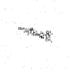 Cc1cnn(C)c1-c1ccc(NC[C@@H]2CC3CN(CCC(C)(C)C)C[C@H]3C2)nn1